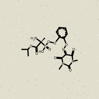 CC(C)OC(=O)[C@](C)(N)P(=O)(O)OOc1ccccc1ON=C1C(=O)N(C)C(=O)N(C)C1=O